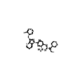 CCN(C(=O)Oc1cnc(-c2nn(Cc3ccccc3F)c3ncccc23)nc1N)c1ccccc1